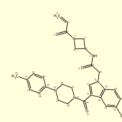 C=CC(=O)N1CC(NC(=O)Cn2cc(C(=O)N3CCN(c4ccc(C)cn4)CC3)c3cc(Br)ccc32)C1